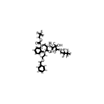 CC(O)(C(=O)NCC(F)(F)C(F)(F)F)C(=O)N[C@H]1CN(C(=O)OCC(F)(F)F)c2ccccc2N(CCOCc2ccccc2)C1=O